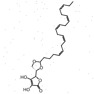 CC/C=C\C/C=C\C/C=C\C/C=C\C/C=C\CCCC1OC[C@@H]([C@H]2OC(=O)C(O)=C2O)O1